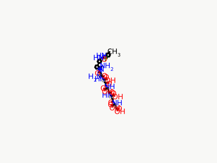 Cc1ccc(F)c(NC(=O)Nc2ccc(-c3cccc4c3c(N)nn4C(=O)C[C@H](N)C(=O)N[C@@H](CC(C=O)CN[C@@H](CCC(=O)N[C@@H](CCC(=O)N[C@@H](CCC(=O)O)C(=O)O)C(=O)O)C(=O)O)C(=O)O)cc2)c1